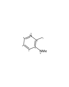 CNc1[c]ccnc1C